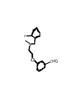 CN(CCOc1cccc(C=O)c1)CC1=CC=CCC1F